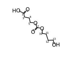 O=C(O)CCCOC(=O)OCCCCO